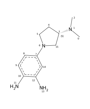 CN(C)[C@H]1CCN(c2ccc(N)c(N)c2)C1